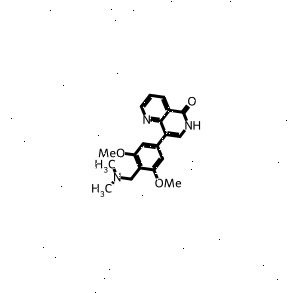 COc1cc(-c2c[nH]c(=O)c3cccnc23)cc(OC)c1CN(C)C